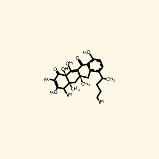 CC(=O)C1=C(O)C(C(C)C)[C@@]2(C)C[C@@]3(C)Cc4c(C(C)CCCC(C)C)ccc(O)c4C(=O)C3=C(O)[C@@]2(O)C1=O